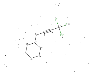 FC(F)(Br)C#CCC1CCCCC1